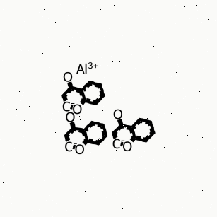 O=c1c[c-]oc2ccccc12.O=c1c[c-]oc2ccccc12.O=c1c[c-]oc2ccccc12.[Al+3]